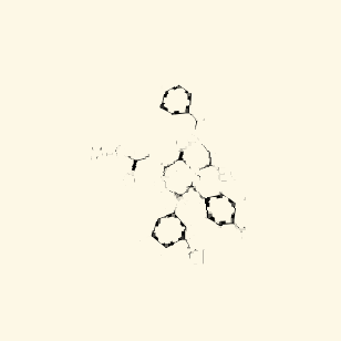 CC[C@@H](CSCc1ccccc1)N1C(=O)[C@@H](CC(=O)OC)O[C@H](c2cccc(Cl)c2)C1c1ccc(Cl)cc1